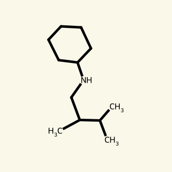 CC(C)C(C)CNC1CCCCC1